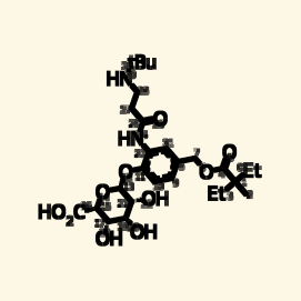 CCC(C)(CC)C(=O)OCc1ccc(O[C@@H]2O[C@H](C(=O)O)[C@@H](O)[C@H](O)[C@H]2O)c(NC(=O)CCNC(C)(C)C)c1